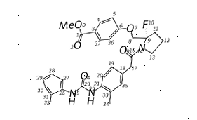 COC(=O)c1ccc(OC[C@@]2(F)CCCN2C(=O)Cc2ccc(NC(=O)Nc3ccccc3C)c(C)c2)cc1